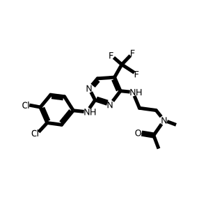 CC(=O)N(C)CCNc1nc(Nc2ccc(Cl)c(Cl)c2)ncc1C(F)(F)F